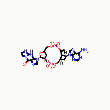 C=C1O[P@](=O)(S)OC[C@@H]2C[C@@H](O[P@@](=O)(S)OC[C@H]3C[C@@H](n4cnc5c(N)ncnc54)[C@H]13)[C@H](n1cnc3c(=O)n4ccnc4[nH]c31)O2